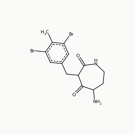 Cc1c(Br)cc(CC2C(=O)NCCC(N)C2=O)cc1Br